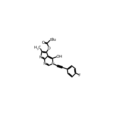 Cc1nc2ncn(C#Cc3ccc(F)cc3)c(O)c-2c1OC(=O)C(C)(C)C